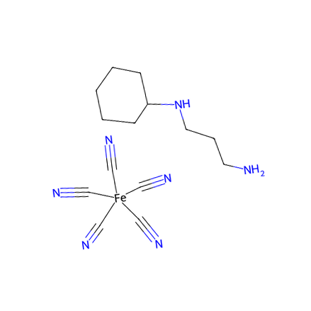 N#[C][Fe]([C]#N)([C]#N)([C]#N)[C]#N.NCCCNC1CCCCC1